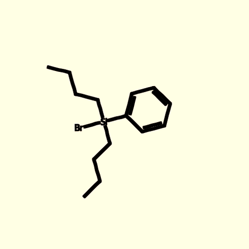 CCCC[Si](Br)(CCCC)c1ccccc1